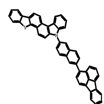 c1ccc2c(c1)-c1cccc3c(-c4ccc5cc(-n6c7ccccc7c7c8ccc9c%10ccccc%10sc9c8ccc76)ccc5c4)ccc-2c13